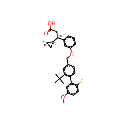 COc1ccc(F)c(-c2ccc(COc3cccc([C@H](CC(=O)O)[C@H]4C[C@@H]4C)c3)cc2C(C)(C)C)c1